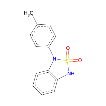 Cc1ccc(N2c3ccccc3NS2(=O)=O)cc1